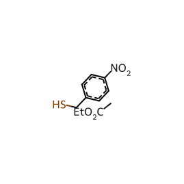 CCOC(C)=O.O=[N+]([O-])c1ccc(CS)cc1